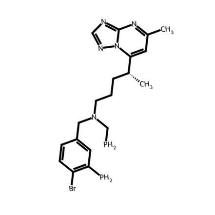 Cc1cc([C@H](C)CCCN(CP)Cc2ccc(Br)c(P)c2)n2ncnc2n1